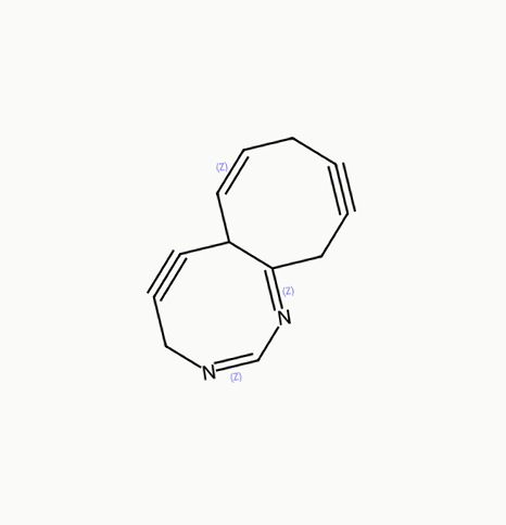 C1#CC/C2=N/C=N\CC#CC2/C=C\C1